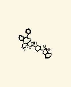 O=C(N[C@@H]1N=C(c2ccccc2)c2ccccc2N(CC(F)(F)F)C1=O)N1CCC(N2Cc3cccnc3NC2=O)CC1